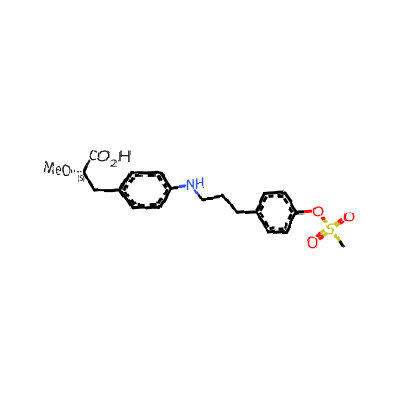 CO[C@@H](Cc1ccc(NCCCc2ccc(OS(C)(=O)=O)cc2)cc1)C(=O)O